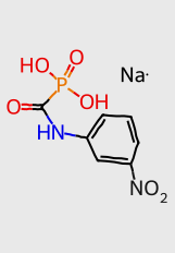 O=C(Nc1cccc([N+](=O)[O-])c1)P(=O)(O)O.[Na]